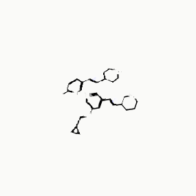 C(=C\C1CCCNC1)/c1cncc(OCC2CC2)c1.Clc1ccc(/C=C/C2CCNCC2)cn1